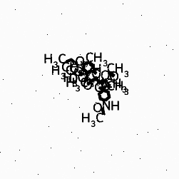 CCC(=O)NC1CCC(OC)(O[C@H]([C@H](C)OC(C)=O)[C@H]2O[C@@H]3C=C(C)[C@@H](OC(=O)CC(C)C)C[C@]3(COC(C)=O)C(C)(C)[C@]23CO3)CC1